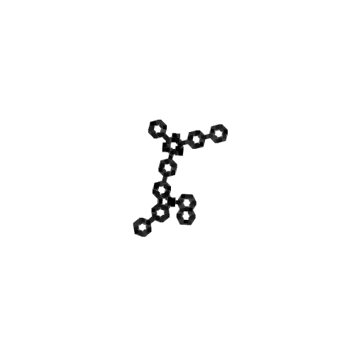 c1ccc(-c2ccc(-c3nc(-c4ccccc4)nc(-c4ccc(-c5ccc6c7cc(-c8ccccc8)ccc7n(-c7cccc8ccccc78)c6c5)cc4)n3)cc2)cc1